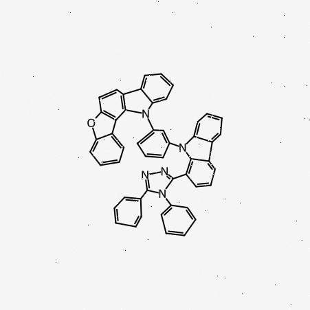 c1ccc(-c2nnc(-c3cccc4c5ccccc5n(-c5cccc(-n6c7ccccc7c7ccc8oc9ccccc9c8c76)c5)c34)n2-c2ccccc2)cc1